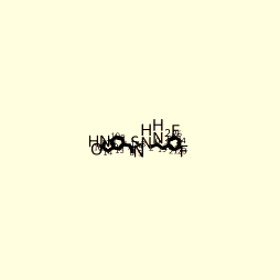 N[C@H](CNc1ncc(-c2ccc3c(c2)CC(=O)N3)s1)Cc1cc(F)cc(F)c1